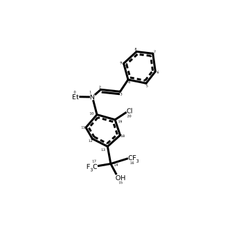 CCN(C=Cc1ccccc1)c1ccc(C(O)(C(F)(F)F)C(F)(F)F)cc1Cl